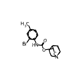 Cc1ccc(NC(=O)OC2CN3CCC2CC3)c(Br)c1